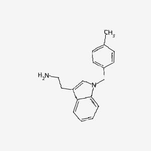 Cc1ccc(Cn2cc(CCN)c3ccccc32)cc1